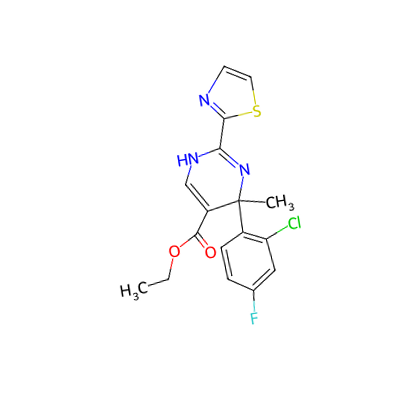 CCOC(=O)C1=CNC(c2nccs2)=NC1(C)c1ccc(F)cc1Cl